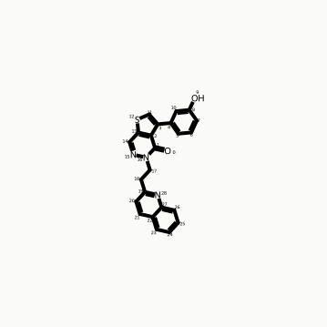 O=c1c2c(-c3cccc(O)c3)csc2cnn1CCc1ccc2ccccc2n1